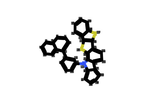 c1cc(-c2cccc3ccccc23)cc(-n2c3ccccc3c3ccc4c5sc6ccccc6c5sc4c32)c1